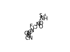 N#CCS(=O)(=O)N1CCN(c2ccc(N3CC(CNC(=S)C4CC4)OC3=O)cc2F)CC1